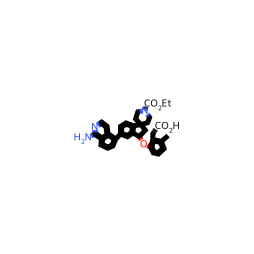 CCOC(=O)N1CCC2(CC1)CC(Oc1cccc(C)c1CC(=O)O)c1cc(-c3cccc4c(N)nccc34)ccc12